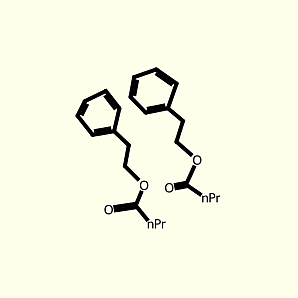 CCCC(=O)OCCc1ccccc1.CCCC(=O)OCCc1ccccc1